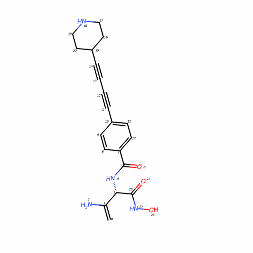 C=C(N)[C@H](NC(=O)c1ccc(C#CC#CC2CCNCC2)cc1)C(=O)NO